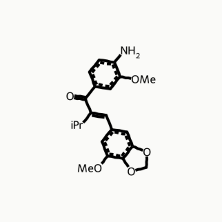 COc1cc(C(=O)/C(=C/c2cc(OC)c3c(c2)OCO3)C(C)C)ccc1N